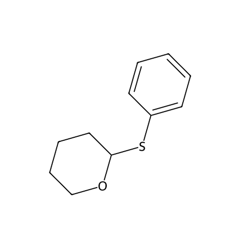 c1ccc(SC2CCCCO2)cc1